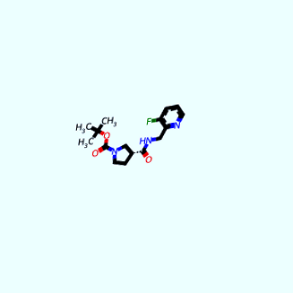 CC(C)(C)OC(=O)N1CC[C@@H](C(=O)NCc2ncccc2F)C1